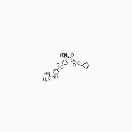 C.C[C@H](C(=O)OCC(=O)OCc1ccccc1)c1ccc(OC(=O)c2ccc(NC(=N)N)cc2)cc1